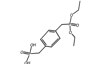 CCOP(=O)(Cc1ccc(CP(=O)(O)O)cc1)OCC